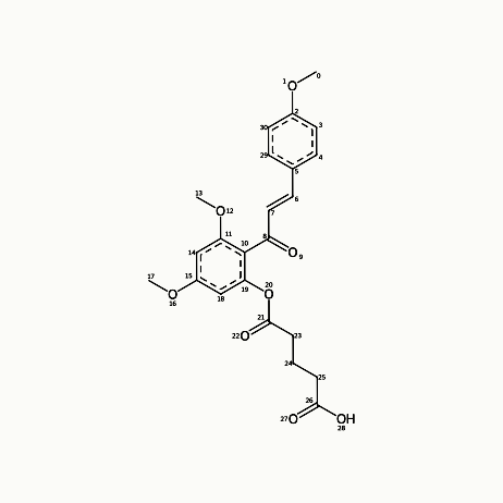 COc1ccc(C=CC(=O)c2c(OC)cc(OC)cc2OC(=O)CCCC(=O)O)cc1